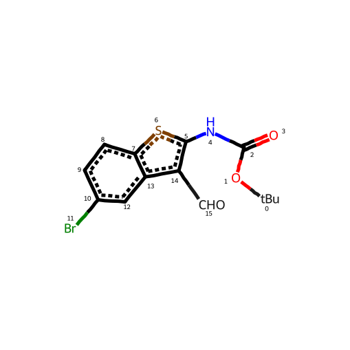 CC(C)(C)OC(=O)Nc1sc2ccc(Br)cc2c1C=O